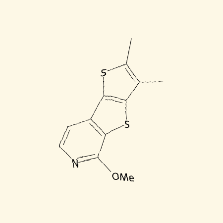 COc1nccc2c1sc1c(C)c(C)sc12